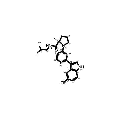 C[C@]1(C(=O)NCC(F)F)CCCN1c1ccnc(-c2c[nH]c3ccc(Cl)cc23)n1